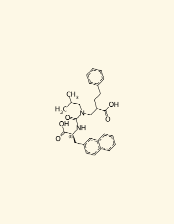 CC(C)CN(CC(CCc1ccccc1)C(=O)O)C(=O)N[C@@H](Cc1ccc2ccccc2c1)C(=O)O